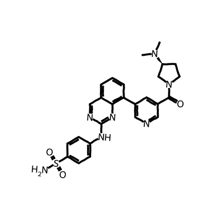 CN(C)[C@H]1CCN(C(=O)c2cncc(-c3cccc4cnc(Nc5ccc(S(N)(=O)=O)cc5)nc34)c2)C1